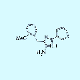 COc1ccccc1Cc1nc(-c2ccccc2)[nH]c1N